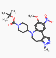 COc1cc2c(cc1[N+](=O)[O-])-c1cnn(C)c1CCN2C1CCN(C(=O)OC(C)(C)C)CC1